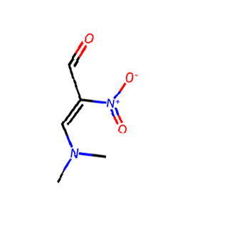 CN(C)/C=C(/C=O)[N+](=O)[O-]